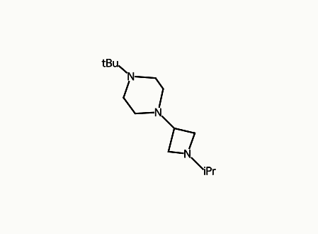 CC(C)N1CC(N2CCN(C(C)(C)C)CC2)C1